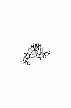 CC(C)(C)CC(=O)NC(C(=O)N1C[C@H]2[C@@H]([C@H]1C(=O)NC(C=O)C[C@@H]1CCNC1=O)C2(C)C)C(C)(C)C